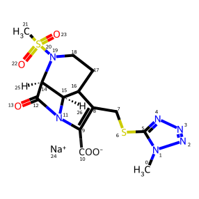 Cn1nnnc1SCC1=C(C(=O)[O-])N2C(=O)[C@@H]3[C@H]2C1CCN3S(C)(=O)=O.[Na+]